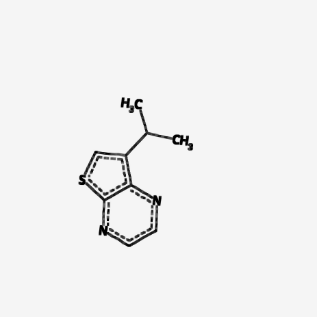 CC(C)c1csc2nccnc12